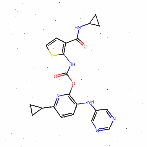 O=C(Nc1sccc1C(=O)NC1CC1)Oc1nc(C2CC2)ccc1Nc1cncnc1